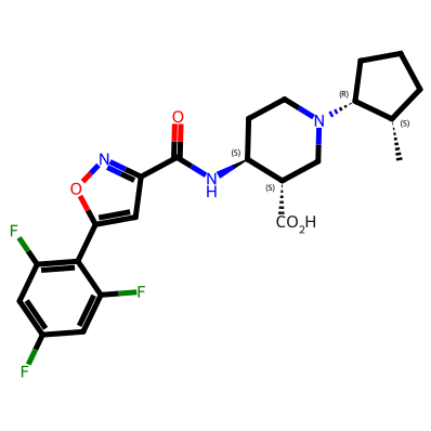 C[C@H]1CCC[C@H]1N1CC[C@H](NC(=O)c2cc(-c3c(F)cc(F)cc3F)on2)[C@@H](C(=O)O)C1